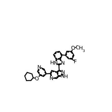 COc1cc(F)cc(-c2cccc3[nH]c(-c4n[nH]c5cnc(-c6cncc(OC7CCCCC7)c6)cc45)nc23)c1